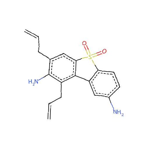 C=CCc1cc2c(c(CC=C)c1N)-c1cc(N)ccc1S2(=O)=O